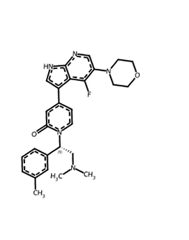 Cc1cccc([C@@H](CN(C)C)n2ccc(-c3c[nH]c4ncc(N5CCOCC5)c(F)c34)cc2=O)c1